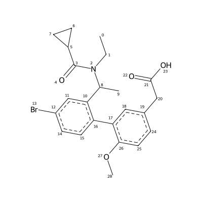 CCN(C(=O)C1CC1)C(C)c1cc(Br)ccc1-c1cc(CC(=O)O)ccc1OC